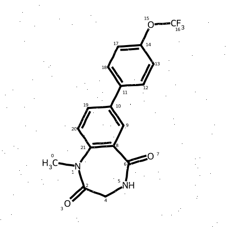 CN1C(=O)CNC(=O)c2cc(-c3ccc(OC(F)(F)F)cc3)ccc21